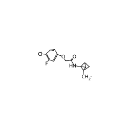 [CH2]C12CC(C1)C2NC(=O)COc1ccc(Cl)c(F)c1